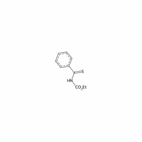 CCOC(=O)NC(=S)c1ccccc1